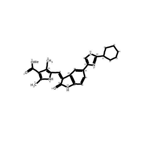 COC(=O)c1c(C)[nH]c(/C=C2\C(=O)Nc3ccc(-c4csc(C5CCCCC5)n4)cc32)c1C